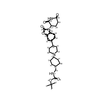 CC(C)(C)OC(=O)NC[C@H]1CC[C@H](N2CCC(c3ccc4c(c3)oc(=O)n4C3CCC(=O)NC3=O)CC2)CC1